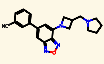 N#Cc1cccc(-c2cc(N3CC(CN4CCCC4)C3)c3nonc3c2)c1